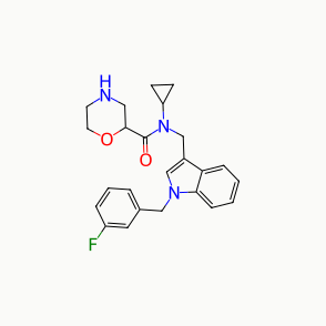 O=C(C1CNCCO1)N(Cc1cn(Cc2cccc(F)c2)c2ccccc12)C1CC1